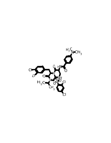 CC(C)N1CC2(S(=O)(=O)c3ccc(Cl)cc3Cl)NCC(NC(=O)c3ccc(N(C)C)cc3)C(=O)N2C(Cc2ccc(Cl)c(Cl)c2)C1=O